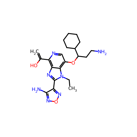 C=C(O)c1ncc(OC(CCN)C2CCCCC2)c2c1nc(-c1nonc1N)n2CC